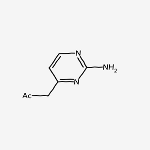 CC(=O)Cc1ccnc(N)n1